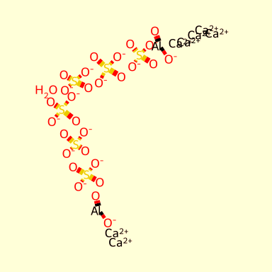 O.O=S(=O)([O-])[O-].O=S(=O)([O-])[O-].O=S(=O)([O-])[O-].O=S(=O)([O-])[O-].O=S(=O)([O-])[O-].O=S(=O)([O-])[O-].[Ca+2].[Ca+2].[Ca+2].[Ca+2].[Ca+2].[Ca+2].[Ca+2].[O]=[Al][O-].[O]=[Al][O-]